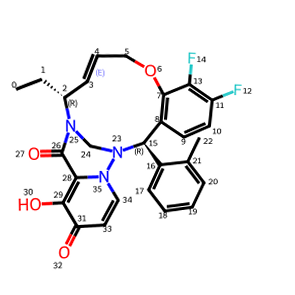 CC[C@@H]1/C=C/COc2c(ccc(F)c2F)[C@@H](c2ccccc2C)N2CN1C(=O)c1c(O)c(=O)ccn12